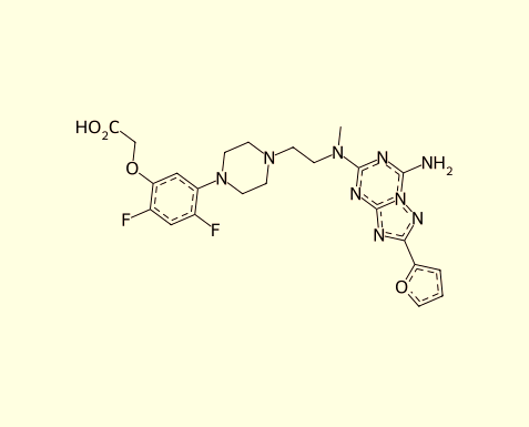 CN(CCN1CCN(c2cc(OCC(=O)O)c(F)cc2F)CC1)c1nc(N)n2nc(-c3ccco3)nc2n1